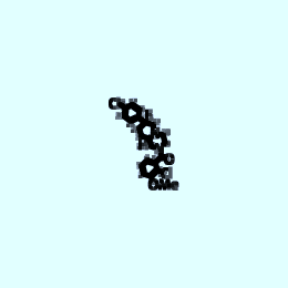 COc1cccc(C(=O)N2CCN3C[C@@](F)(c4ccc(Cl)cc4)CC[C@@H]3C2)c1Cl